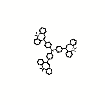 CS1(C)c2ccccc2C=C(c2ccc(N(c3ccc(C4=Cc5ccccc5S(C)(C)c5ccccc54)cc3)c3ccc(C4=Cc5ccccc5S(C)(C)c5ccccc54)cc3)cc2)c2ccccc21